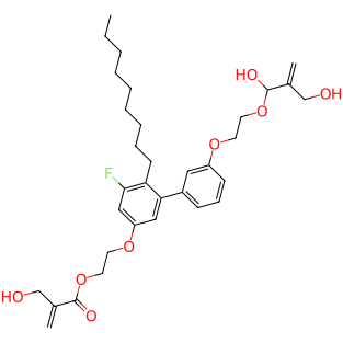 C=C(CO)C(=O)OCCOc1cc(F)c(CCCCCCCCC)c(-c2cccc(OCCOC(O)C(=C)CO)c2)c1